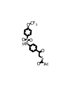 CC(=O)C(=O)SCC(=O)c1ccc(NS(=O)(=O)c2ccc(OC(F)(F)F)cc2)cc1